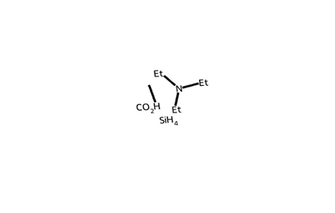 CC(=O)O.CCN(CC)CC.[SiH4]